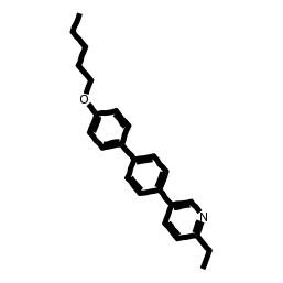 CCCCCOc1ccc(-c2ccc(-c3ccc(CC)nc3)cc2)cc1